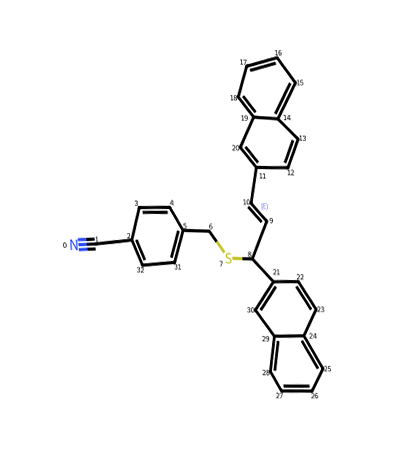 N#Cc1ccc(CSC(/C=C/c2ccc3ccccc3c2)c2ccc3ccccc3c2)cc1